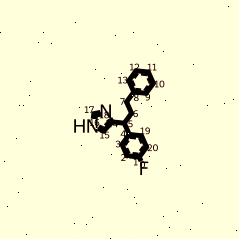 Fc1ccc(C(CCc2ccccc2)c2c[nH]cn2)cc1